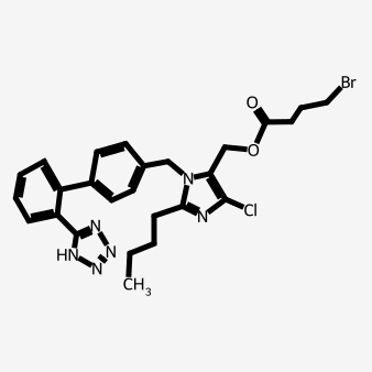 CCCCc1nc(Cl)c(COC(=O)CCCBr)n1Cc1ccc(-c2ccccc2-c2nnn[nH]2)cc1